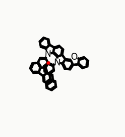 c1ccc(-c2cccc(-n3c4ccc5c6ccccc6oc5c4c4ccc5c6ccccc6n(-c6cc7c8c(cccc8c6)-c6ccccc6-7)c5c43)c2)cc1